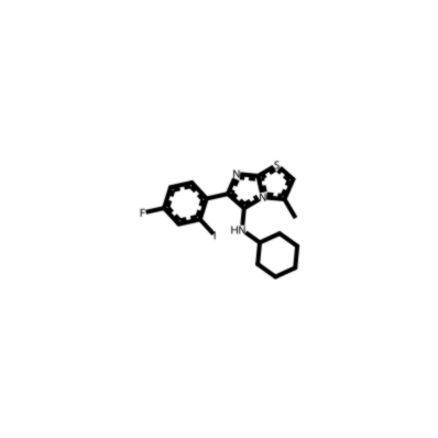 Cc1csc2nc(-c3ccc(F)cc3I)c(NC3CCCCC3)n12